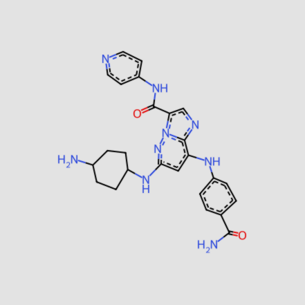 NC(=O)c1ccc(Nc2cc(NC3CCC(N)CC3)nn3c(C(=O)Nc4ccncc4)cnc23)cc1